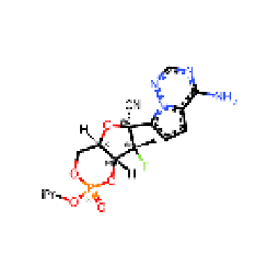 CC(C)O[P@@]1(=O)OC[C@H]2O[C@@](C#N)(c3ccc4c(N)ncnn34)[C@](C)(F)[C@@H]2O1